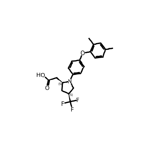 Cc1ccc(Oc2ccc(N3C[C@@H](C(F)(F)F)C[C@H]3CC(=O)O)cc2)c(C)c1